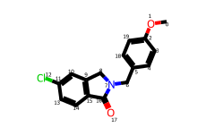 COc1ccc(CN2Cc3cc(Cl)ccc3C2=O)cc1